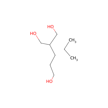 CCC.OCCCC(CO)CO